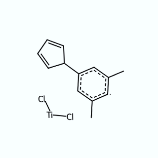 Cc1[c]c(C)cc(C2C=CC=C2)c1.[Cl][Ti][Cl]